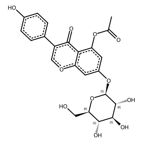 CC(=O)Oc1cc(O[C@@H]2O[C@H](CO)[C@@H](O)[C@H](O)[C@H]2O)cc2occ(-c3ccc(O)cc3)c(=O)c12